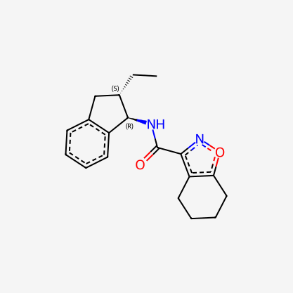 CC[C@H]1Cc2ccccc2[C@@H]1NC(=O)c1noc2c1CCCC2